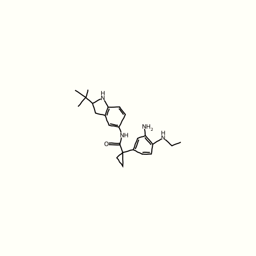 CCNc1ccc(C2(C(=O)Nc3ccc4c(c3)CC(C(C)(C)C)N4)CC2)cc1N